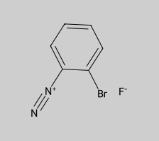 N#[N+]c1ccccc1Br.[F-]